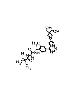 Cc1cc(-c2ncnn3cc(N4CC(CO)(CO)C4)cc23)ccc1CNC(=O)c1noc(C(C)(C)C)n1